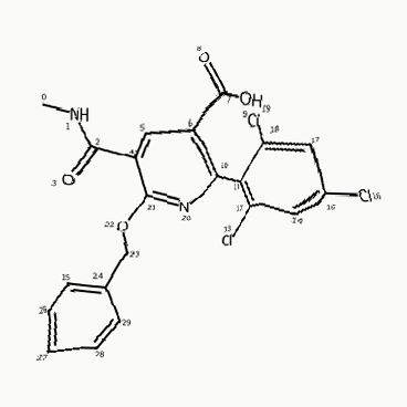 CNC(=O)c1cc(C(=O)O)c(-c2c(Cl)cc(Cl)cc2Cl)nc1OCc1ccccc1